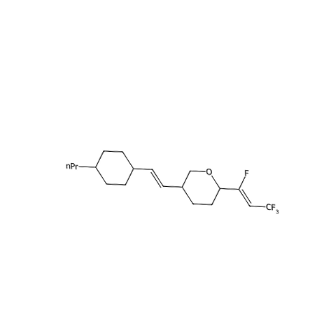 CCCC1CCC(/C=C/C2CCC(/C(F)=C/C(F)(F)F)OC2)CC1